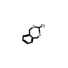 CCC1SCc2ccccc2CS1